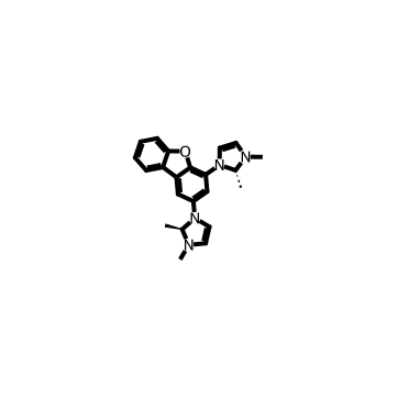 C[C@@H]1N(C)C=CN1c1cc(N2C=CN(C)[C@@H]2C)c2oc3ccccc3c2c1